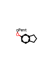 CCCCCOc1ccc2c(c1)CCC2